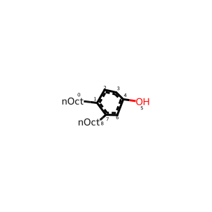 CCCCCCCCc1ccc(O)cc1CCCCCCCC